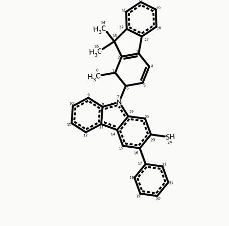 CC1C2=C(C=CC1n1c3ccccc3c3cc(-c4ccccc4)c(S)cc31)c1ccccc1C2(C)C